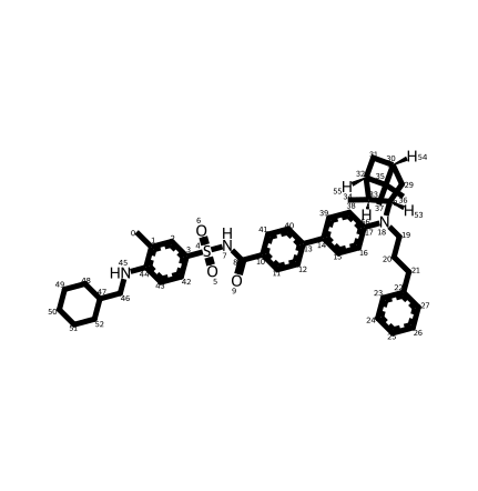 Cc1cc(S(=O)(=O)NC(=O)c2ccc(-c3ccc(N(CCCc4ccccc4)[C@H]4C[C@H]5C[C@@H]([C@@H]4C)C5(C)C)cc3)cc2)ccc1NCC1CCCCC1